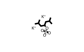 CC(C)CC(CC(C)C)OP(=O)([O-])[O-].[K+].[K+]